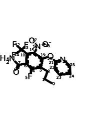 CCCc1c(F)c(C(N)=O)c(C(F)(F)F)c([N+](=O)[O-])c1Oc1ccccn1